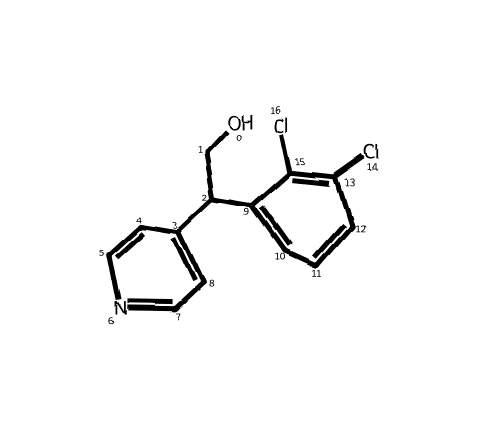 OCC(c1ccncc1)c1cccc(Cl)c1Cl